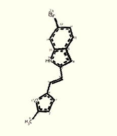 Cc1ccc(C=Cc2cc3ccc(Br)cc3[nH]2)o1